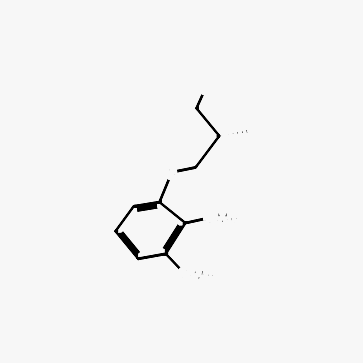 COc1cccc(SC[C@@H](C)CO)c1OC